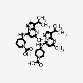 Cc1cc(NC2CCCN(C(=O)O)C2)n2ncc(C(C)C)c2n1.Cc1cc(NC2CCN(C(=O)O)CC2)n2ncc(C(C)C)c2n1